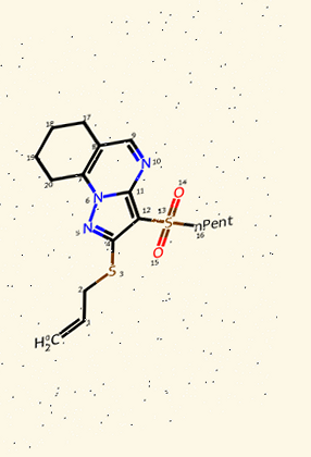 C=CCSc1nn2c3c(cnc2c1S(=O)(=O)CCCCC)CCCC3